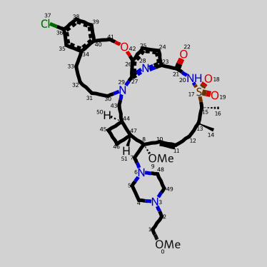 COCCN1CCN(C[C@]2(OC)/C=C/C[C@H](C)[C@@H](C)S(=O)(=O)NC(=O)c3ccc4c(n3)N(CCCCc3cc(Cl)ccc3CO4)C[C@@H]3CC[C@H]32)CC1